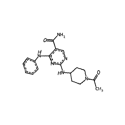 CC(=O)N1CCC(Nc2ncc(C(N)=O)c(Nc3ccccc3)n2)CC1